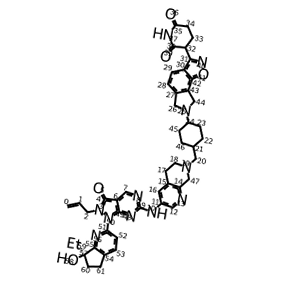 C=CCn1c(=O)c2cnc(Nc3cnc4c(c3)CCN(CC3CCC(N5Cc6ccc7c(C8CCC(=O)NC8=O)noc7c6C5)CC3)C4)nc2n1-c1ccc2c(n1)[C@@](O)(CC)CC2